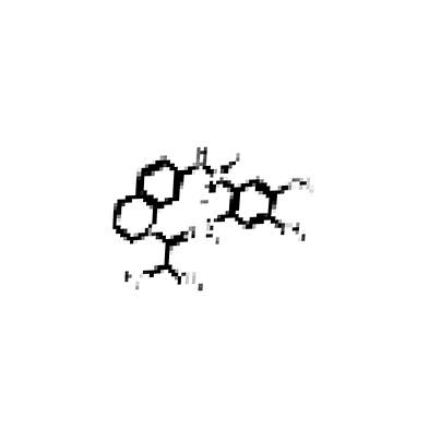 Cc1cc(C)c(S(=O)(=O)Nc2ccc3c(c2)N(C(=O)C(C)C)CCC3)cc1C